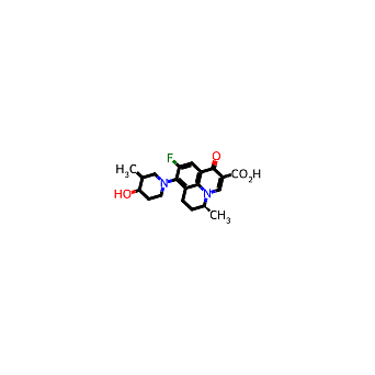 CC1CN(c2c(F)cc3c(=O)c(C(=O)O)cn4c3c2CC[C@@H]4C)CCC1O